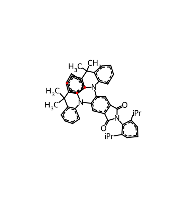 CC(C)c1cccc(C(C)C)c1N1C(=O)c2cc(N3c4ccccc4C(C)(C)c4ccccc43)c(N3c4ccccc4C(C)(C)c4ccccc43)cc2C1=O